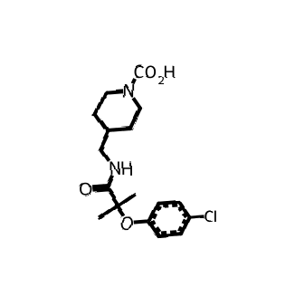 CC(C)(Oc1ccc(Cl)cc1)C(=O)NCC1CCN(C(=O)O)CC1